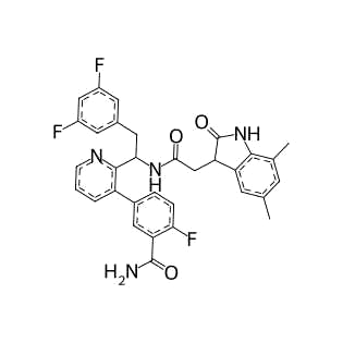 Cc1cc(C)c2c(c1)C(CC(=O)NC(Cc1cc(F)cc(F)c1)c1ncccc1-c1ccc(F)c(C(N)=O)c1)C(=O)N2